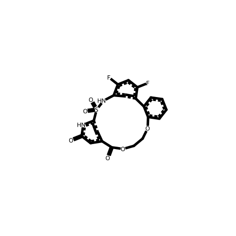 O=C1OCCOc2ccccc2-c2cc(c(F)cc2F)NS(=O)(=O)c2cc1cc(=O)[nH]2